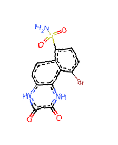 NS(=O)(=O)c1ccc(Br)c2c1ccc1[nH]c(=O)c(=O)[nH]c12